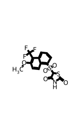 COc1ccc2c(S(=O)(=O)C3SC(=O)NC3=O)cccc2c1C(F)(F)F